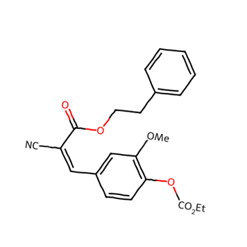 CCOC(=O)Oc1ccc(C=C(C#N)C(=O)OCCc2ccccc2)cc1OC